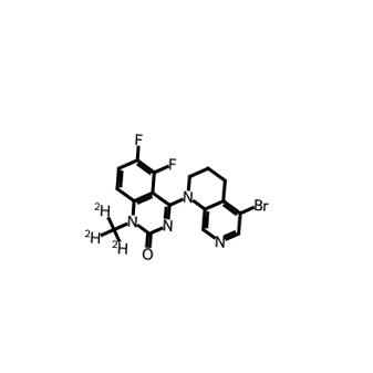 [2H]C([2H])([2H])n1c(=O)nc(N2CCCc3c(Br)cncc32)c2c(F)c(F)ccc21